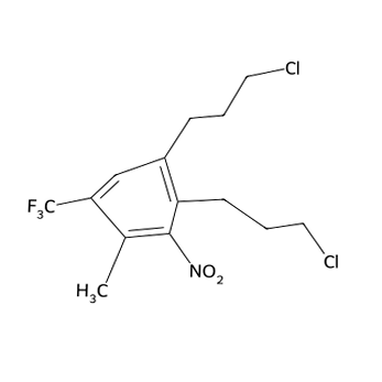 Cc1c(C(F)(F)F)cc(CCCCl)c(CCCCl)c1[N+](=O)[O-]